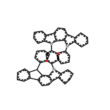 c1ccc(C2c3ccccc3-c3ccc4c5ccccc5n(-c5ccc(-n6c7ccccc7c7ccc8c9ccccc9n(-c9ccccc9)c8c76)cc5)c4c32)cc1